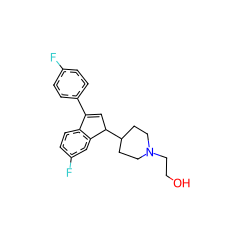 OCCN1CCC(C2C=C(c3ccc(F)cc3)c3ccc(F)cc32)CC1